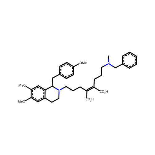 COc1ccc(CC2c3cc(OC)c(OC)cc3CCN2CCC/C(C(=O)O)=C(\CCCN(C)Cc2ccccc2)C(=O)O)cc1